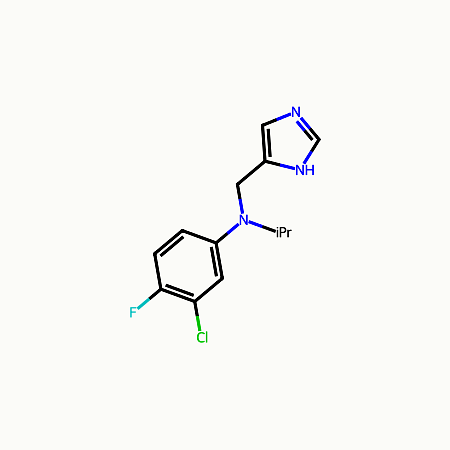 CC(C)N(Cc1cnc[nH]1)c1ccc(F)c(Cl)c1